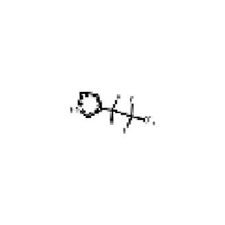 FC(F)(F)C(F)(F)C(F)(F)c1cc[nH]c1